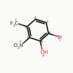 O=[N+]([O-])c1c(C(F)(F)F)ccc(Br)c1O